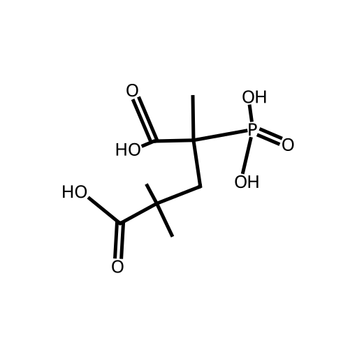 CC(C)(CC(C)(C(=O)O)P(=O)(O)O)C(=O)O